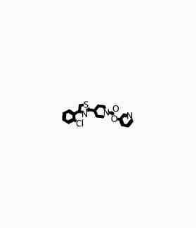 O=C(Oc1cccnc1)N1CCC(C2=NC(c3ccccc3Cl)CS2)CC1